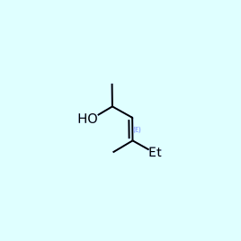 CC/C(C)=C/C(C)O